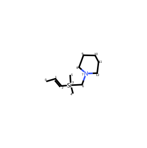 CC=C[Si](C)(C)CN1CCCCC1